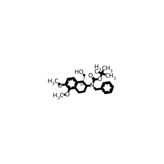 COc1ccc2c(c1OC)CCC(N(Cc1ccccc1)C(=O)OC(C)(C)C)[C@H]2CO